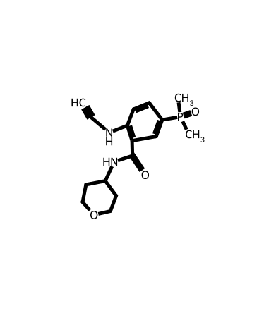 C#CNc1ccc(P(C)(C)=O)cc1C(=O)NC1CCOCC1